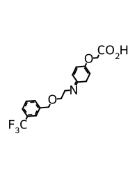 O=C(O)COC1=CCC(=NCCOCc2cccc(C(F)(F)F)c2)C=C1